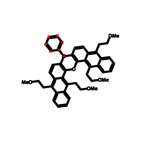 COCCc1c2ccccc2c(CCOC)c2c(Oc3c(Oc4ccccc4)ccc4c(CCOC)c5ccccc5c(CCOC)c34)c(Oc3ccccc3)ccc12